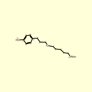 CCCCCCCCCCCCCCOCCCc1ccc(O)cc1